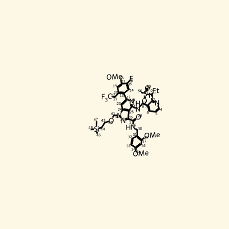 CCN(c1ncccc1CNc1nc(-c2cc(F)c(OC)cc2CC(F)(F)F)cc2c1c(C(=O)NCc1ccc(OC)cc1OC)nn2COCC[Si](C)(C)C)S(C)(=O)=O